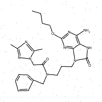 CCCCOc1nc(N)c2[nH]c(=O)n(CCCN(Cc3ccccc3)C(=O)Cn3nc(C)nc3C)c2n1